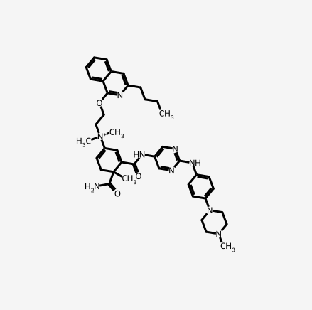 CCCCc1cc2ccccc2c(OCC[N+](C)(C)C2=CCC(C)(C(N)=O)C(C(=O)Nc3cnc(Nc4ccc(N5CCN(C)CC5)cc4)nc3)=C2)n1